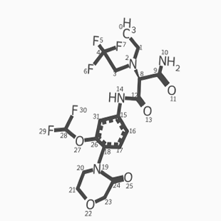 CCN(CC(F)(F)F)[C@@H](C(N)=O)C(=O)Nc1ccc(N2CCOCC2=O)c(OC(F)F)c1